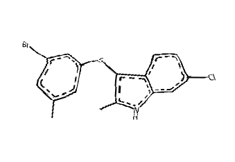 Cc1cc(Br)cc(Sc2c(C)[nH]c3cc(Cl)ccc23)c1